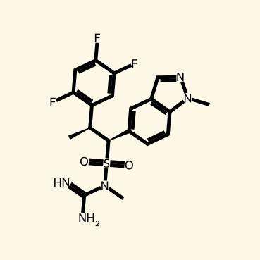 C[C@@H](c1cc(F)c(F)cc1F)[C@@H](c1ccc2c(cnn2C)c1)S(=O)(=O)N(C)C(=N)N